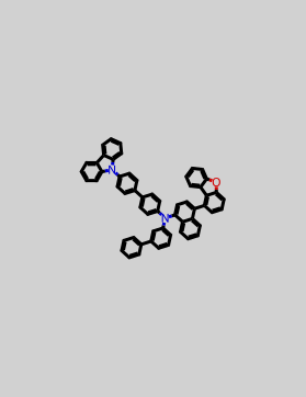 c1ccc(-c2cccc(N(c3ccc(-c4ccc(-n5c6ccccc6c6ccccc65)cc4)cc3)c3ccc(-c4cccc5oc6ccccc6c45)c4ccccc34)c2)cc1